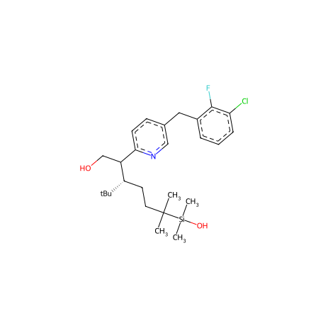 CC(C)(C)[C@@H](CCC(C)(C)[Si](C)(C)O)C(CO)c1ccc(Cc2cccc(Cl)c2F)cn1